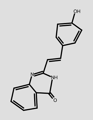 O=c1[nH]c(/C=C/c2ccc(O)cc2)nc2ccccc12